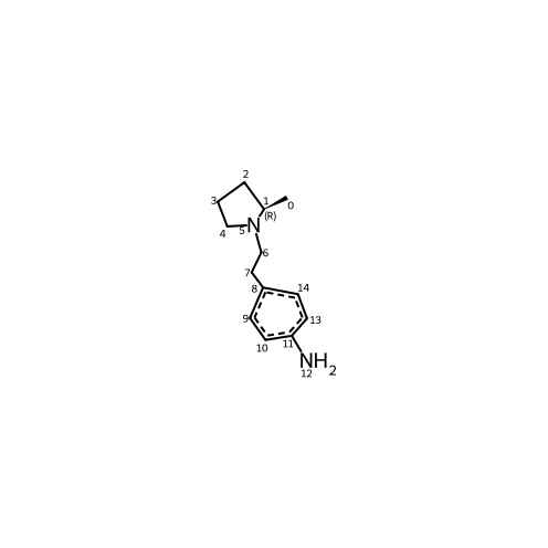 C[C@@H]1CCCN1CCc1ccc(N)cc1